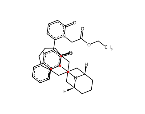 CCOC(=O)Cn1c(-c2nc3ccccc3n(C3C[C@H]4CCC[C@@H](C3)N4C3C[C@H]4CCCC[C@@H](C3)C4)c2=O)cccc1=O